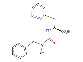 CCOC(=O)[C@H](Cc1ccccc1)NC(=O)C(Cc1ccccc1)C(C)C